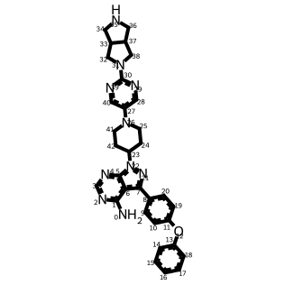 Nc1ncnc2c1c(-c1ccc(Oc3ccccc3)cc1)nn2C1CCN(c2cnc(N3CC4CNCC4C3)nc2)CC1